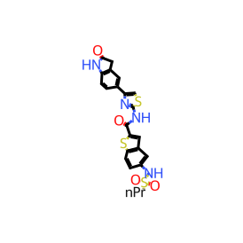 CCCS(=O)(=O)Nc1ccc2sc(C(=O)Nc3nc(-c4ccc5c(c4)CC(=O)N5)cs3)cc2c1